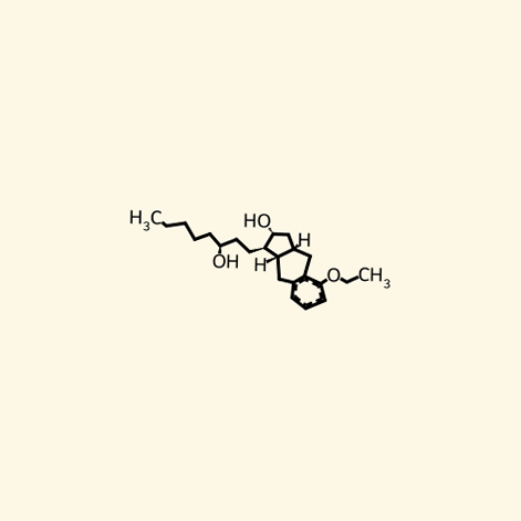 CCCCC[C@H](O)CC[C@@H]1[C@H]2Cc3cccc(OCC)c3C[C@H]2C[C@H]1O